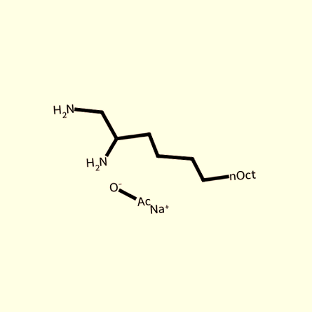 CC(=O)[O-].CCCCCCCCCCCCC(N)CN.[Na+]